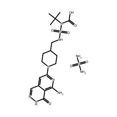 CC(C)(C)N(C(=O)O)S(=O)(=O)NCC1CCN(c2cc3cn[nH]c(=O)c3c(N)n2)CC1.NS(N)(=O)=O